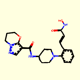 O=C(C=Cc1ccccc1N1CCC(NC(=O)c2cnn3c2OCCC3)CC1)NO